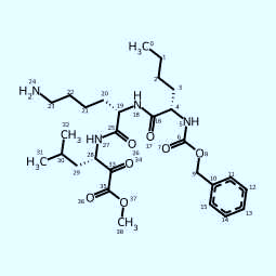 CCCC[C@H](NC(=O)OCc1ccccc1)C(=O)N[C@@H](CCCCN)C(=O)N[C@@H](CC(C)C)C(=O)C(=O)OC